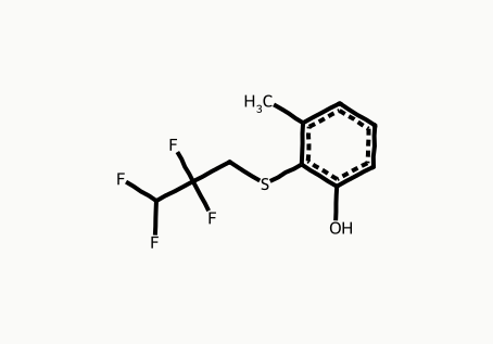 Cc1cccc(O)c1SCC(F)(F)C(F)F